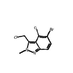 Cn1nc2ccc(Br)c(Cl)c2c1CCl